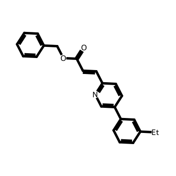 CCc1cccc(-c2ccc(/C=C/C(=O)OCc3ccccc3)nc2)c1